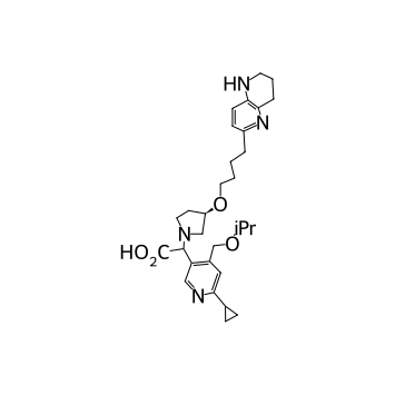 CC(C)OCc1cc(C2CC2)ncc1C(C(=O)O)N1CC[C@@H](OCCCCc2ccc3c(n2)CCCN3)C1